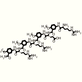 COc1ccc(NC(=O)[C@@H](CCCNC(=N)N)NC(=O)c2cc(NC(=O)[C@@H](CCCNC(=N)N)NC(=O)c3cc(NC(=O)[C@@H](CCC(=O)O)NC(=O)c4cc(NC(=O)[C@H](N)CCCNC(=N)N)ccc4OC)ccc3OC)ccc2OC)cc1C(N)=O